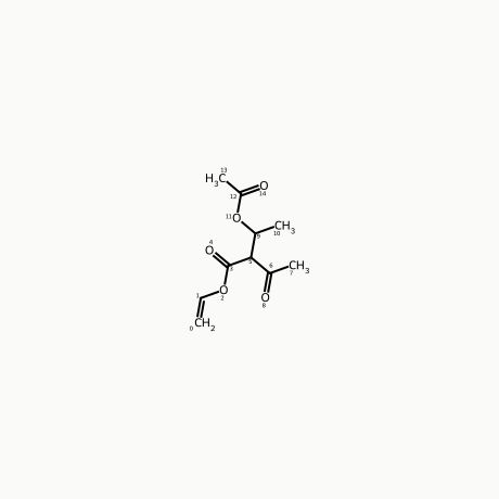 C=COC(=O)C(C(C)=O)C(C)OC(C)=O